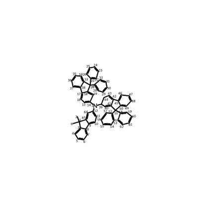 CC1(C)c2ccccc2-c2ccc(N(c3ccc4c(c3)C(c3ccccc3)(c3ccccc3)c3ccccc3-4)C3C=C4C(=CC3)c3ccccc3C4(c3ccccc3)c3ccccc3)cc21